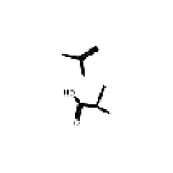 C=C(C)C.CC(C)C(=O)O